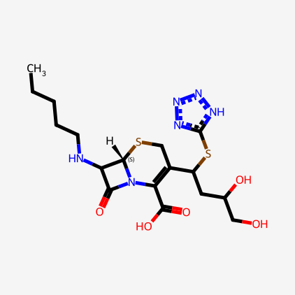 CCCCCNC1C(=O)N2C(C(=O)O)=C(C(CC(O)CO)Sc3nnn[nH]3)CS[C@@H]12